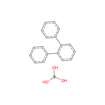 OB(O)O.c1ccc(-c2ccccc2-c2ccccc2)cc1